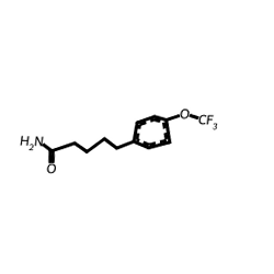 NC(=O)CCCCc1ccc(OC(F)(F)F)cc1